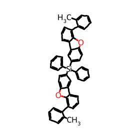 Cc1ccccc1-c1cccc2c1oc1ccc([Si](c3ccccc3)(c3ccccc3)c3ccc4oc5c(-c6ccccc6C)cccc5c4c3)cc12